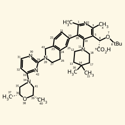 Cc1nc(C)c([C@H](OC(C)(C)C)C(=O)O)c(N2CCC(C)(C)CC2)c1-c1ccc2c(c1)CCN(c1nccc(N3C[C@@H](C)O[C@@H](C)C3)n1)C2